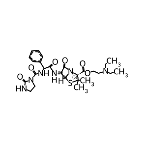 CCN(CC)CCOC(=O)[C@@H]1N2C(=O)[C@@H](NC(=O)C(NC(=O)N3CCNC3=O)c3ccccc3)[C@H]2SC1(C)C